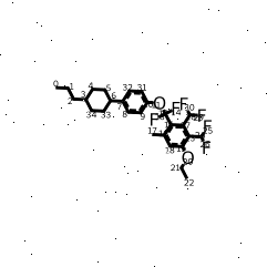 CCCC1CCC(c2ccc(OC(F)(F)c3c(C)cc(OCC)c(C(F)F)c3C(F)F)cc2)CC1